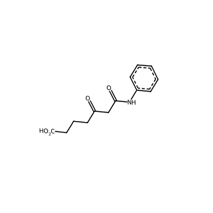 O=C(O)CCCC(=O)CC(=O)Nc1ccccc1